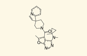 C=CC1(c2ccccn2)CCN(C(=O)c2c(C)oc3ncnc(N(C)C4(C)CC4)c23)CC1